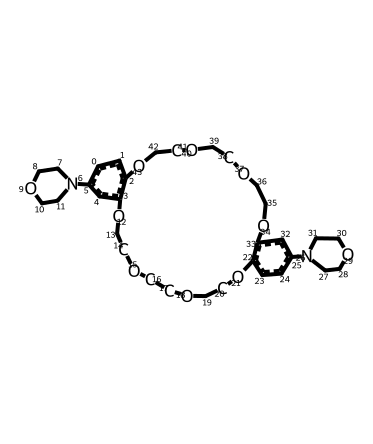 c1cc2c(cc1N1CCOCC1)OCCOCCOCCOc1ccc(N3CCOCC3)cc1OCCOCCOCCO2